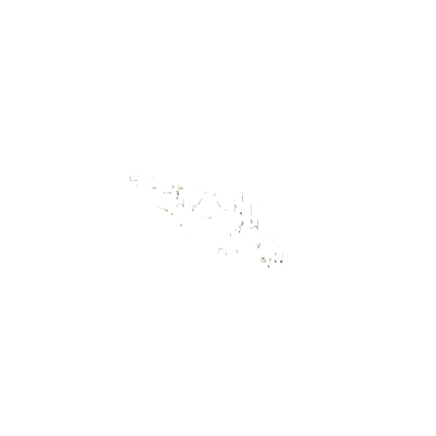 Cc1cc(C2CC2)n(-c2ccc(NC(=O)Nc3snnc3C)cc2)n1